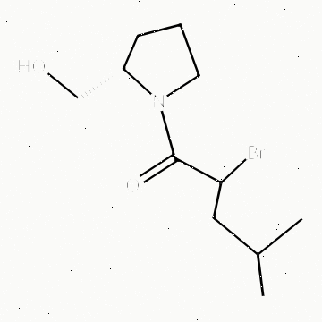 CC(C)CC(Br)C(=O)N1CCC[C@H]1CO